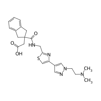 CN(C)CCn1cc(-c2csc(CNC(=O)C3(CC(=O)O)Cc4ccccc4C3)n2)cn1